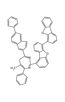 CC1=C(c2ccccc2)N=C(c2cccc3oc4c(-c5cccc6c5oc5ccccc56)cccc4c23)N=C(c2ccc3cc(-c4ccccc4)ccc3c2)C1